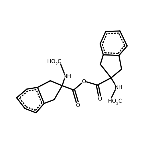 O=C(O)NC1(C(=O)OC(=O)C2(NC(=O)O)Cc3ccccc3C2)Cc2ccccc2C1